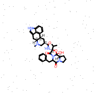 CC(C)[C@@]1(NC(=O)[C@@H]2C[C@@H]3c4cccc5[nH]cc(c45)C[C@H]3N(C)C2)O[C@]2(O)[C@@H]3CCCN3C(=O)C(Cc3ccccc3)N2C1=O